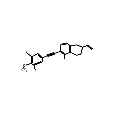 C=CC1CCc2c(ccc(C#Cc3cc(F)c(OC(F)(F)F)c(F)c3)c2F)C1